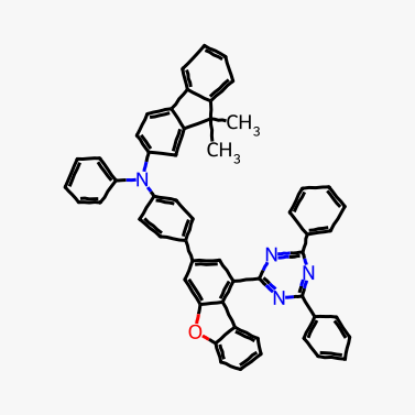 CC1(C)c2ccccc2-c2ccc(N(c3ccccc3)c3ccc(-c4cc(-c5nc(-c6ccccc6)nc(-c6ccccc6)n5)c5c(c4)oc4ccccc45)cc3)cc21